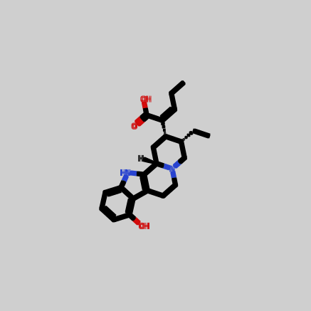 CCC=C(C(=O)O)[C@H]1C[C@H]2c3[nH]c4cccc(O)c4c3CCN2C[C@H]1CC